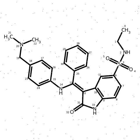 CCNS(=O)(=O)c1ccc2c(c1)/C(=C(/Nc1ccc(CN(C)C)cc1)c1ccccc1)C(=O)N2